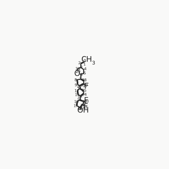 C/C=C/C1CCC(c2ccc(-c3ccc(-c4ccc(O)c(F)c4F)cc3)c(F)c2)OC1